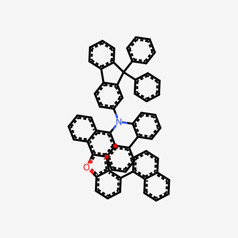 c1ccc(-c2ccccc2N(c2ccc3c(c2)C(c2ccccc2)(c2ccccc2)c2ccccc2-3)c2cc3c(oc4cccc(-c5cccc6ccccc56)c43)c3ccccc23)cc1